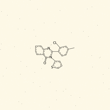 Cc1ccc(-c2nc3ccccc3c(=O)n2-c2cccs2)c(Cl)c1